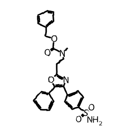 CN(CCc1nc(-c2ccc(S(N)(=O)=O)cc2)c(-c2ccccc2)o1)C(=O)OCc1ccccc1